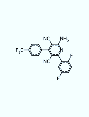 N#Cc1c(N)nc(-c2cc(F)ccc2F)c(C#N)c1-c1ccc(C(F)(F)F)cc1